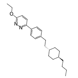 CCCCC[C@H]1CC[C@H](CCc2ccc(-c3ccc(OCC)nn3)cc2)CC1